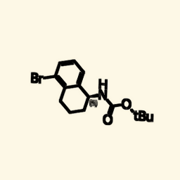 CC(C)(C)OC(=O)N[C@H]1CCCc2c(Br)cccc21